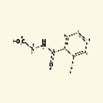 O=C(O)NNC(=O)c1ccccc1F